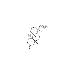 C=C1CC[C@@H]2[C@](C)(CCC3[C@](C)(C(=O)O)CCC[C@]32C)C1